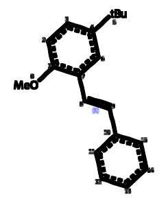 COc1ccc(C(C)(C)C)cc1/C=C/c1ccccc1